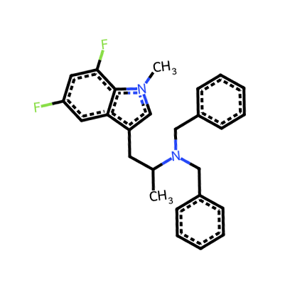 CC(Cc1cn(C)c2c(F)cc(F)cc12)N(Cc1ccccc1)Cc1ccccc1